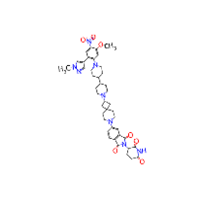 COc1cc(N2CCC(C3CCN(C4CC5(CCN(c6ccc7c(c6)C(=O)N(C6CCC(=O)NC6=O)C7=O)CC5)C4)CC3)CC2)c(-c2cnn(C)c2)cc1[N+](=O)[O-]